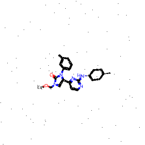 CCOCn1cc(-c2ccnc(N[C@H]3CC[C@H](C)CC3)n2)n(-c2cccc(C)c2)c1=O